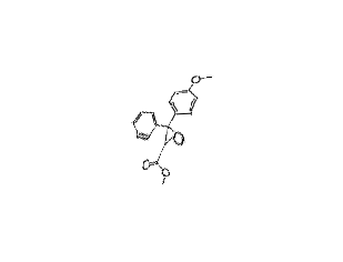 COC(=O)C1OC1(c1ccccc1)c1ccc(OC)cc1